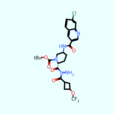 CC(C)(C)OC(=O)N1C[C@@H](NC(=O)c2cnc3cc(Cl)ccc3c2)CC[C@@H]1C(=O)N(N)C(=O)C1CC(OC(F)(F)F)C1